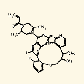 C=CC(=O)N1C[C@H](C)N(c2nc(=O)n3c4nc(c(F)cc24)-c2c(F)cccc2OCC(O)C(OC(C)=O)c2ccnc(C(C)C)c2-3)C[C@H]1C